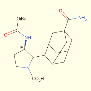 CC(C)COC(=O)N[C@@H]1CCN(C(=O)O)C1C1C2CC3CC1CC(C(N)=O)(C3)C2